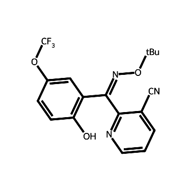 CC(C)(C)ON=C(c1cc(OC(F)(F)F)ccc1O)c1ncccc1C#N